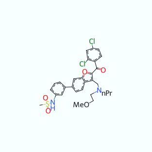 CCCN(CCOC)Cc1c(C(=O)c2ccc(Cl)cc2Cl)oc2cc(-c3cccc(NS(C)(=O)=O)c3)ccc12